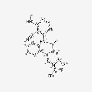 CNc1ncnc(N[C@@H](C)c2cc3ncc(Cl)n3nc2-c2ccccc2)c1C#N